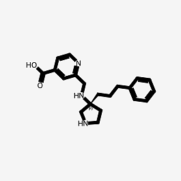 O=C(O)c1ccnc(CN[C@]2(CCCc3ccccc3)CCNC2)c1